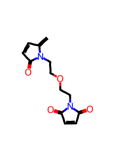 C=C1C=CC(=O)N1CCOCCN1C(=O)C=CC1=O